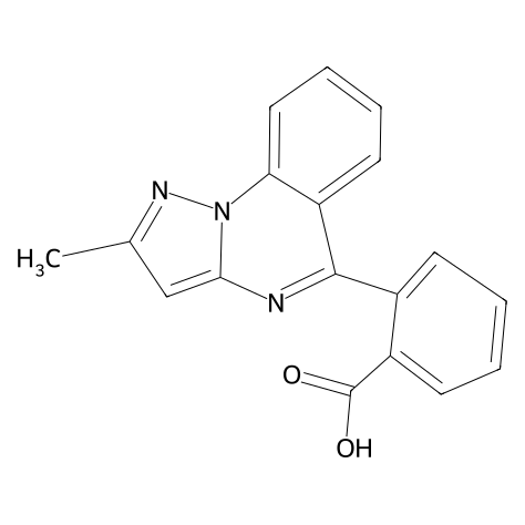 Cc1cc2nc(-c3ccccc3C(=O)O)c3ccccc3n2n1